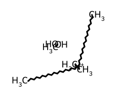 CCCCCCCCCCCCCCCCCC[N+](C)(C)CCCCCCCCCCCCCCCCCC.CO.[OH-]